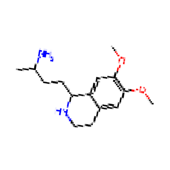 COc1cc2c(cc1OC)C(CCC(C)N)NCC2